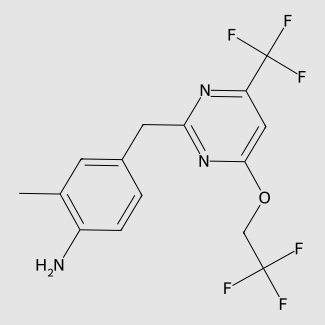 Cc1cc(Cc2nc(OCC(F)(F)F)cc(C(F)(F)F)n2)ccc1N